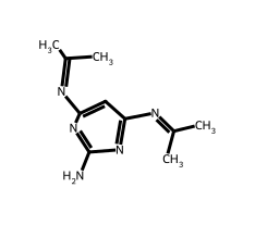 CC(C)=Nc1cc(N=C(C)C)nc(N)n1